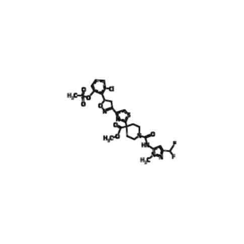 COC(=O)C1(c2nc(C3=NOC(c4c(Cl)cccc4OS(C)(=O)=O)C3)cs2)CCN(C(=O)Nc2cc(C(F)F)nn2C)CC1